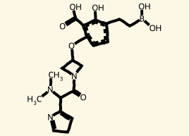 CN(C)C(C(=O)N1CC(Oc2ccc(CCB(O)O)c(O)c2C(=O)O)C1)C1=CCC=N1